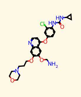 NCOc1cc2c(Oc3ccc(NC(=O)NC4CC4)c(Cl)c3)ccnc2cc1OCCCN1CCOCC1